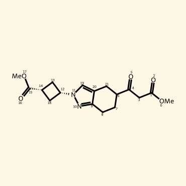 COC(=O)CC(=O)C1CCc2nn([C@H]3C[C@@H](C(=O)OC)C3)cc2C1